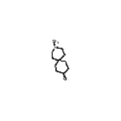 CC1CCC2(CC1)CCN(C)CC2